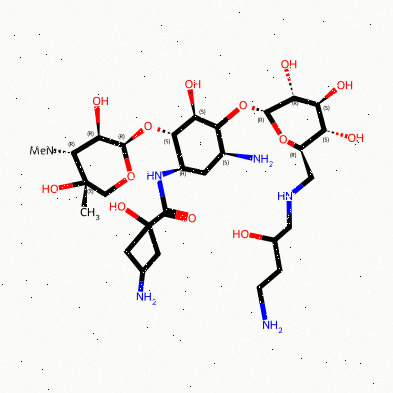 CN[C@@H]1[C@@H](O)[C@@H](O[C@H]2[C@H](NC(=O)C3(O)CC(N)C3)C[C@H](N)C(O[C@H]3O[C@H](CNCC(O)CCN)[C@@H](O)[C@H](O)[C@H]3O)[C@@H]2O)OC[C@]1(C)O